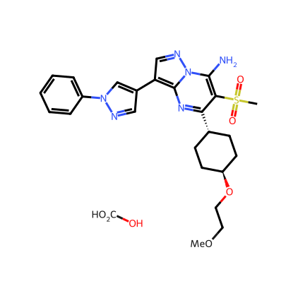 COCCO[C@H]1CC[C@H](c2nc3c(-c4cnn(-c5ccccc5)c4)cnn3c(N)c2S(C)(=O)=O)CC1.O=C(O)O